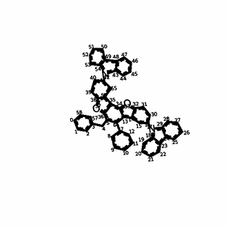 c1ccc(Cc2c(-c3ccccc3)c3c4cc(-n5c6ccccc6c6ccccc65)ccc4oc3c3c2oc2ccc(-n4c5ccccc5c5ccccc54)cc23)cc1